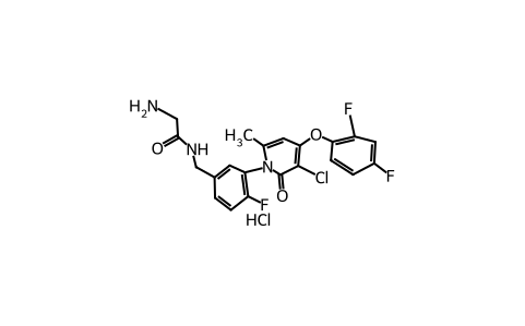 Cc1cc(Oc2ccc(F)cc2F)c(Cl)c(=O)n1-c1cc(CNC(=O)CN)ccc1F.Cl